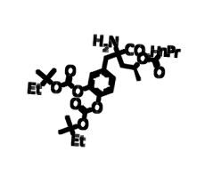 CCCC(=O)O[C@@H](C)CC(N)(Cc1ccc(OC(=O)OC(C)(C)CC)c(OC(=O)OC(C)(C)CC)c1)C(=O)O